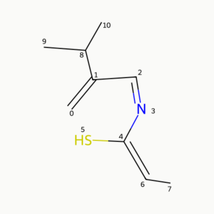 C=C(/C=N\C(S)=C/C)C(C)C